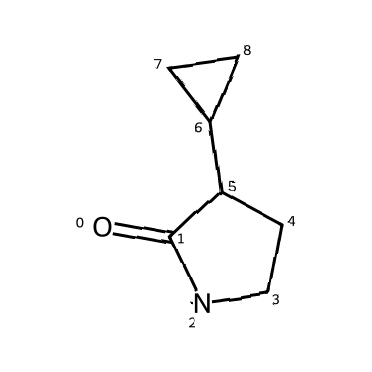 O=C1[N]CCC1C1CC1